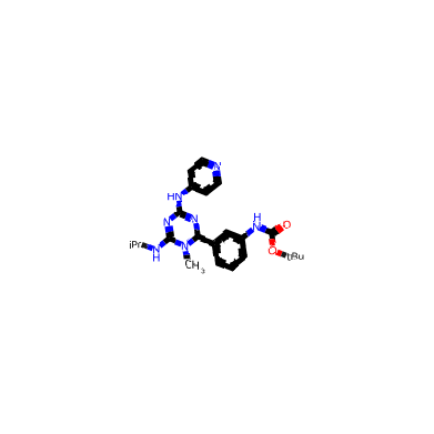 CC(C)NC1=NC(Nc2ccncc2)=NC(c2cccc(NC(=O)OC(C)(C)C)c2)N1C